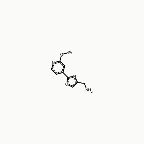 CC(C)Oc1cc(-c2nc(CN)co2)ccn1